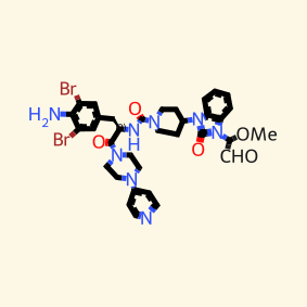 COC(C=O)n1c(=O)n(C2CCN(C(=O)N[C@H](Cc3cc(Br)c(N)c(Br)c3)C(=O)N3CCN(c4ccncc4)CC3)CC2)c2ccccc21